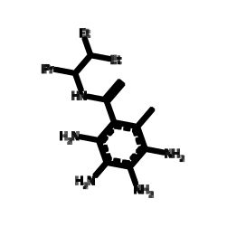 C=C(NC(C(C)C)C(CC)CC)c1c(C)c(N)c(N)c(N)c1N